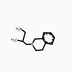 CC(CN)CN1CCc2ccccc2C1